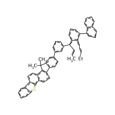 C/C=C/C(c1cccc(-c2ccc3c(c2)C(C)(C)c2c-3ccc3c2ccc2c4ccccc4sc32)c1)=c1/cccc(-c2cccc3ccccc23)/c1=C/C=C/CC